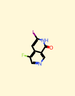 O=c1[nH]c(I)cc2c(F)cncc12